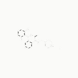 CN1CCN(CCC2C(=S)NC(c3c(N)cccc3Cl)c3ccccc32)CC1